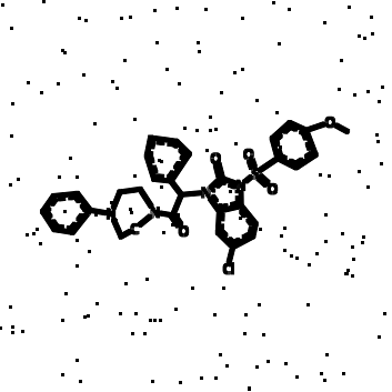 COc1ccc(S(=O)(=O)n2c(=O)n(C(C(=O)N3CCN(c4ccccc4)CC3)c3ccccc3)c3cc(Cl)ccc32)cc1